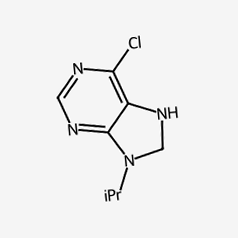 CC(C)N1CNc2c(Cl)ncnc21